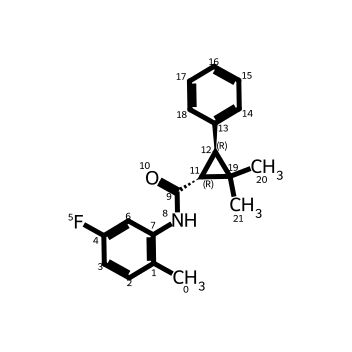 Cc1ccc(F)cc1NC(=O)[C@@H]1[C@@H](c2ccccc2)C1(C)C